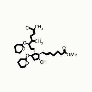 COC(=O)CCCC=CC[C@@H]1[C@@H](C=C[C@@H](OC2CCCCO2)C(C)CC=C(C)Cl)[C@H](OC2CCCCO2)C[C@H]1O